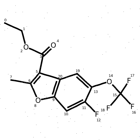 CCOC(=O)c1c(C)oc2cc(F)c(OC(F)(F)F)cc12